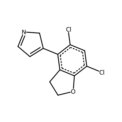 Clc1cc(Cl)c(C2=CC=NC2)c2c1OCC2